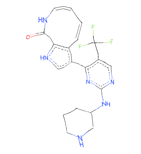 O=C1NC=CC=Cc2c(-c3nc(NC4CCCNC4)ncc3C(F)(F)F)c[nH]c21